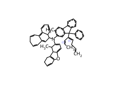 C=CC/C=C(\C=C/C)C1(c2ccccc2)c2ccccc2-c2cc(C)c(N(C3=CC=C4OC5=C(CCC=C5)C4C3C)C3C=C4C=CCC=CC4=C4C=CC=CC43)cc21